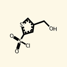 O=S(=O)(Cl)c1cc(CO)cs1